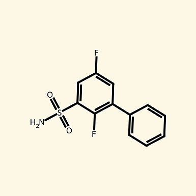 NS(=O)(=O)c1cc(F)cc(-c2ccccc2)c1F